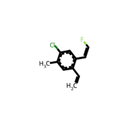 C=Cc1cc(C)c(Cl)cc1/C=C\F